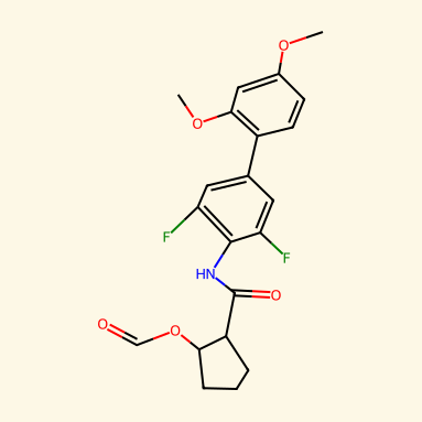 COc1ccc(-c2cc(F)c(NC(=O)C3CCCC3OC=O)c(F)c2)c(OC)c1